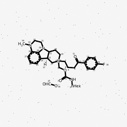 CCCCCCNC(=O)OC[N+]1(CCCC(=O)c2ccc(F)cc2)CCC2[C@@H](C1)c1cccc3c1N2CCN3C.O=C[O-]